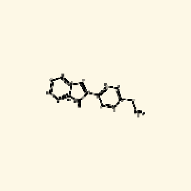 NCc1ccc(-c2cc3ccccc3[nH]2)cc1